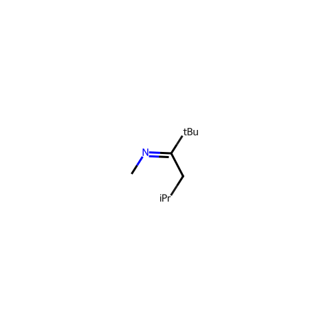 C/N=C(\CC(C)C)C(C)(C)C